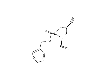 C=C[C@@H]1C[C@H](C#N)CN1C(=O)OCc1ccccc1